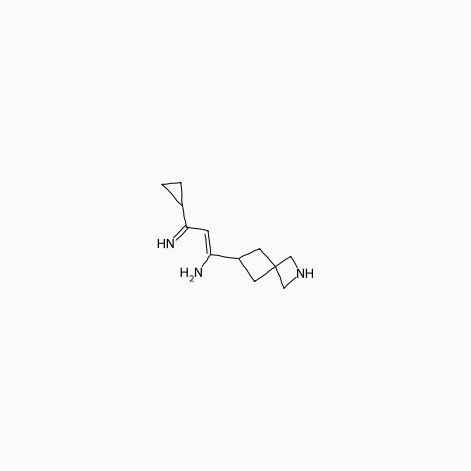 N=C(/C=C(\N)C1CC2(CNC2)C1)C1CC1